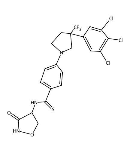 O=C1NOCC1NC(=S)c1ccc(N2CCC(c3cc(Cl)c(Cl)c(Cl)c3)(C(F)(F)F)C2)cc1